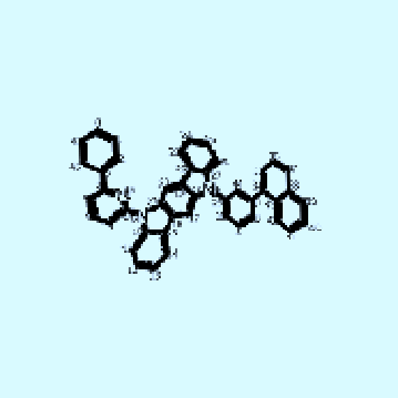 c1ccc(-c2cccc(-n3c4ccccc4c4cc5c(cc43)c3ccccc3n5-c3cccc(-c4cccc5ccccc45)c3)n2)cc1